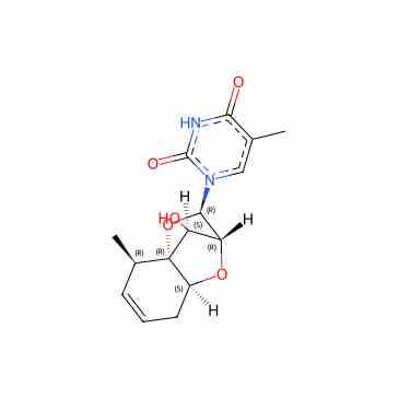 Cc1cn([C@@H]2O[C@@]34[C@H](C)C=CC[C@@H]3O[C@@H]2[C@@H]4O)c(=O)[nH]c1=O